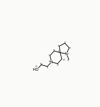 CN1CCCC12CCN(CCO)CC2